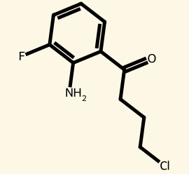 Nc1c(F)cccc1C(=O)CCCCl